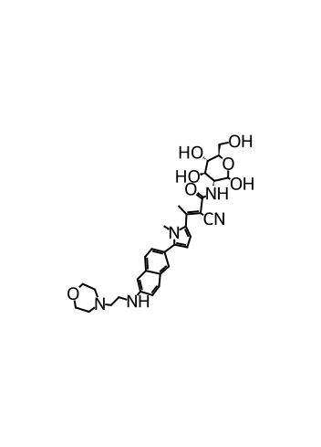 C/C(=C(/C#N)C(=O)N[C@H]1C(O)O[C@H](CO)[C@@H](O)[C@@H]1O)c1ccc(-c2ccc3cc(NCCN4CCOCC4)ccc3c2)n1C